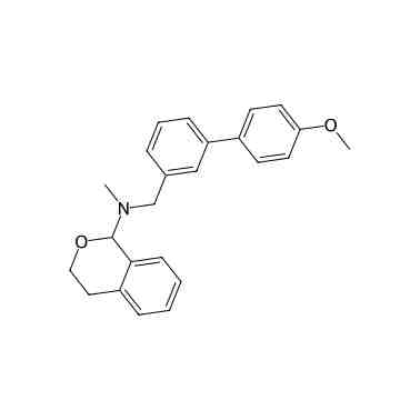 COc1ccc(-c2cccc(CN(C)C3OCCc4ccccc43)c2)cc1